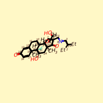 CCC(CC)CN1C[C@@H]2C[C@H]3[C@@H]4CCC5=CC(=O)C=C[C@]5(C)[C@@]4(F)[C@@H](O)C[C@]3(C)[C@]2(C(=O)CO)O1